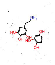 NCCc1cc(O)c(O)c(O)c1.Oc1ccc(O)c(O)c1